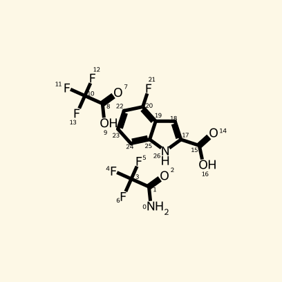 NC(=O)C(F)(F)F.O=C(O)C(F)(F)F.O=C(O)c1cc2c(F)cccc2[nH]1